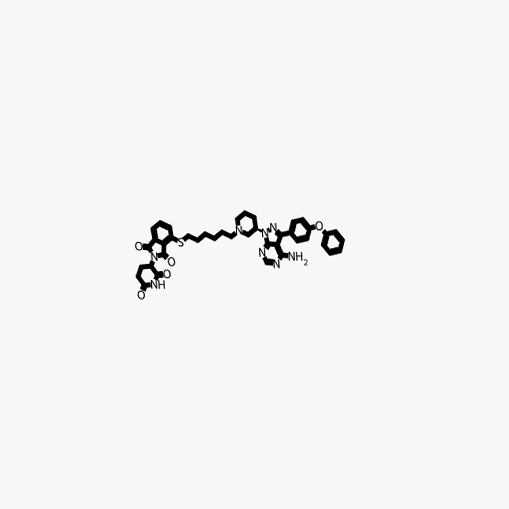 Nc1ncnc2c1c(-c1ccc(Oc3ccccc3)cc1)nn2[C@@H]1CCCN(CCCCCCSc2cccc3c2C(=O)N(C2CCC(=O)NC2=O)C3=O)C1